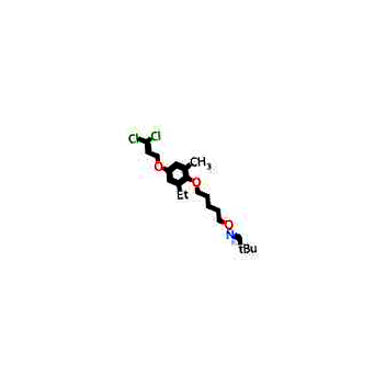 CCc1cc(OCC=C(Cl)Cl)cc(C)c1OCCCCCO/N=C/C(C)(C)C